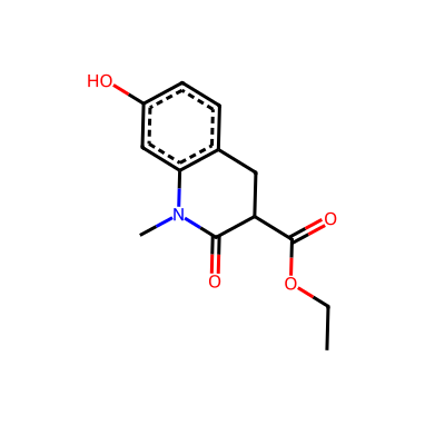 CCOC(=O)C1Cc2ccc(O)cc2N(C)C1=O